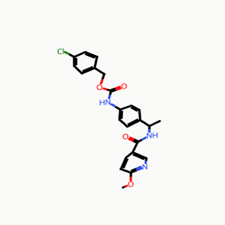 COc1ccc(C(=O)NC(C)c2ccc(NC(=O)OCc3ccc(Cl)cc3)cc2)cn1